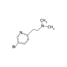 CN(C)CCc1ccc(Br)cn1